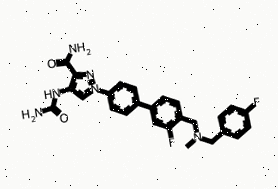 CN(Cc1ccc(F)cc1)Cc1ccc(-c2ccc(-n3cc(NC(N)=O)c(C(N)=O)n3)cc2)cc1F